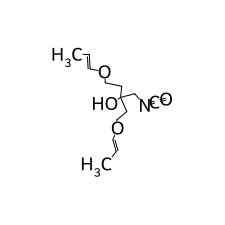 CC=COCCC(O)(CCOC=CC)CN=C=O